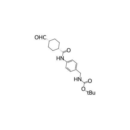 CC(C)(C)OC(=O)NCc1ccc(NC(=O)[C@H]2CC[C@@H](C=O)CC2)cc1